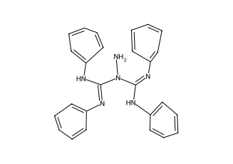 NN(C(=Nc1ccccc1)Nc1ccccc1)C(=Nc1ccccc1)Nc1ccccc1